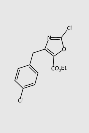 CCOC(=O)c1oc(Cl)nc1Cc1ccc(Cl)cc1